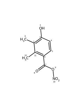 Cc1c(O)ccc(C(=O)O[N+](=O)[O-])c1C